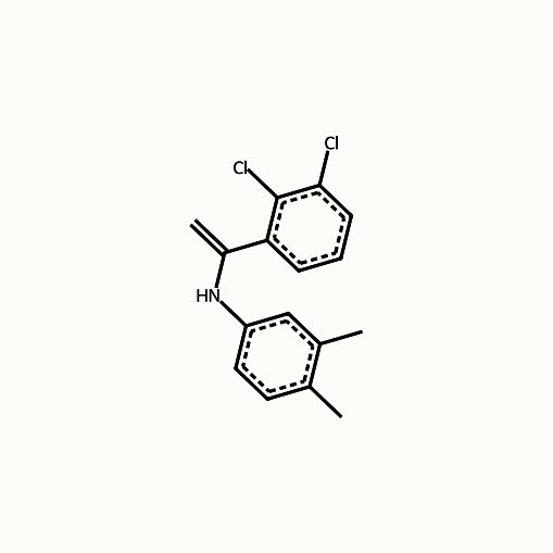 C=C(Nc1ccc(C)c(C)c1)c1cccc(Cl)c1Cl